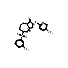 O=C1[C@H](Oc2ccc(C(F)(F)F)cn2)C[C@H]2CC(S(=O)(=O)c3cccc(C(F)(F)F)c3)CCCN12